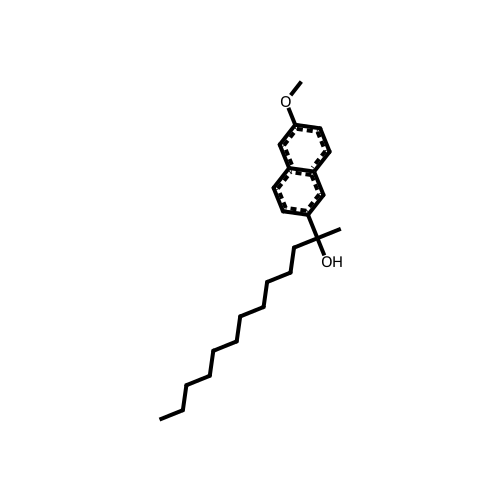 CCCCCCCCCCCC(C)(O)c1ccc2cc(OC)ccc2c1